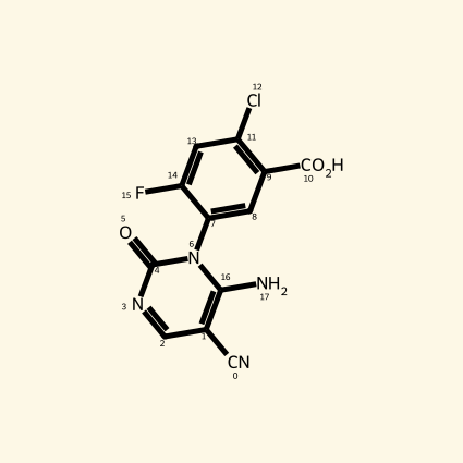 N#Cc1cnc(=O)n(-c2cc(C(=O)O)c(Cl)cc2F)c1N